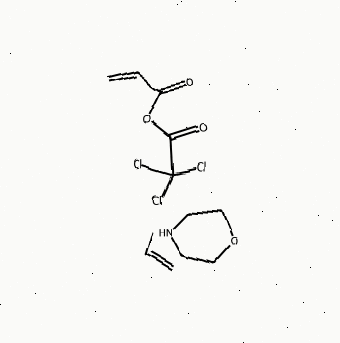 C1COCCN1.C=CC.C=CC(=O)OC(=O)C(Cl)(Cl)Cl